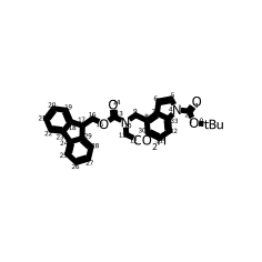 CC(C)(C)OC(=O)n1ccc2c(CN(CC(=O)O)C(=O)OCC3c4ccccc4-c4ccccc43)cccc21